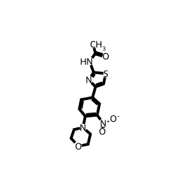 CC(=O)Nc1nc(-c2ccc(N3CCOCC3)c([N+](=O)[O-])c2)cs1